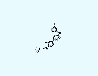 Cc1cc(NC=C2C(=O)Nc3cc(F)ccc32)ccc1N(C)CCC1OCCO1